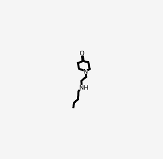 CCCCNCCN1CCC(=O)CC1